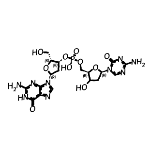 Nc1ncn([C@H]2CC(O)[C@@H](COP(=O)(O)O[C@@H]3C[C@H](n4cnc5c(=O)[nH]c(N)nc54)O[C@@H]3CO)O2)c(=O)n1